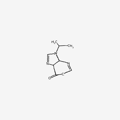 CC(C)N1C=NC2C(=O)CC=NC21